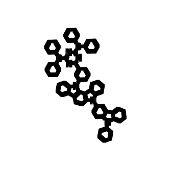 c1ccc(B(c2ccccc2)c2nc(B(c3ccccc3)c3ccccc3)nc(-c3cccc(-n4c5ccccc5c5ccc6c(c7ccccc7n6-c6ccc7c(c6)c6ccccc6n7-c6ccccc6)c54)c3)n2)cc1